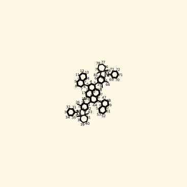 Cc1c(-c2cc(-c3cccc4ccccc34)c3ccc4c(-c5cc6c(c(C)c5C)N(c5ccccc5)C5(C)CCCCC65C)cc(-c5cccc6ccccc56)c5ccc2c3c45)cc2c(c1C)N(c1ccccc1)C1(C)CCCCC21C